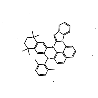 Cc1cccc(C)c1B1c2cc3c(cc2-n2c4c1ccc1cccc(c14)n1c4ccccc4nc21)C(C)(C)CCC3(C)C